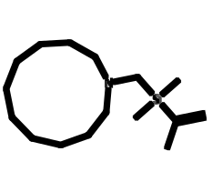 C=C(C)[Si](C)(C)CN1CCCCCCCCCC1